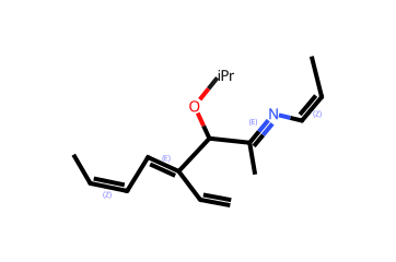 C=C/C(=C\C=C/C)C(OC(C)C)/C(C)=N/C=C\C